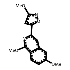 COc1ccc2c(OC)nc(-c3cc(OC)no3)cc2c1